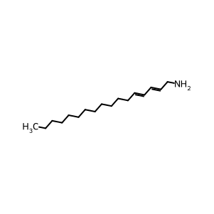 CCCCCCCCCCCC/C=C/C=C/CN